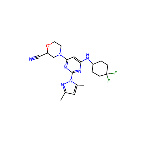 Cc1cc(C)n(-c2nc(NC3CCC(F)(F)CC3)cc(N3CCOC(C#N)C3)n2)n1